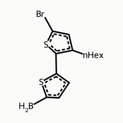 Bc1ccc(-c2sc(Br)cc2CCCCCC)s1